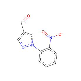 O=Cc1cnn(-c2ccccc2[N+](=O)[O-])c1